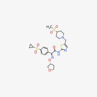 CS(=O)(=O)C1CCN(Cc2cnc(NC(=O)/C(=N/O[C@@H]3CCOC3)c3ccc(S(=O)(=O)C4CC4)cc3)s2)CC1